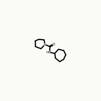 O=C(NC1CCCCCC1)N1CCCCC1